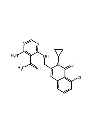 CC(=N)c1c(N)ncnc1NCc1cc2cccc(Cl)c2c(=O)n1C1CC1